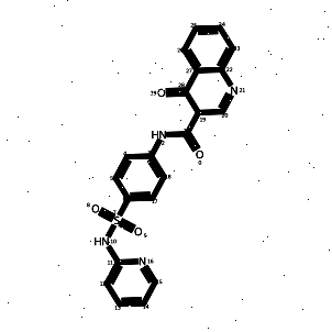 O=C(Nc1ccc(S(=O)(=O)Nc2ccccn2)cc1)C1C=Nc2ccccc2C1=O